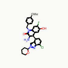 COc1ccc(Cn2c(=O)c(N)c(-c3ccc(Cl)c4nn(C5CCCCO5)cc34)c3cc(O)c(F)cc32)cc1